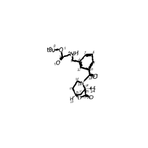 CC(C)(C)OC(=O)NCc1cccc(C(=O)N2CC[C@H]3C[C@@H]2C(=O)O3)c1